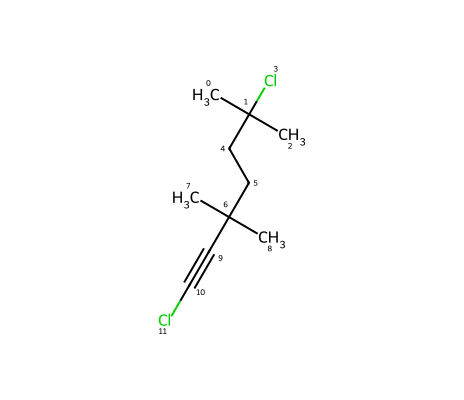 CC(C)(Cl)CCC(C)(C)C#CCl